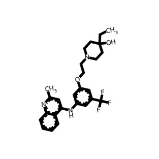 CCC1(O)CCN(CCOc2cc(Nc3cc(C)nc4ccccc34)cc(C(F)(F)F)c2)CC1